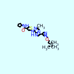 Cc1cn2c(-c3cnn(COCC[Si](C)(C)C)c3)cnc2c(Nc2cc(C(=O)NC3CCCC3)cs2)n1